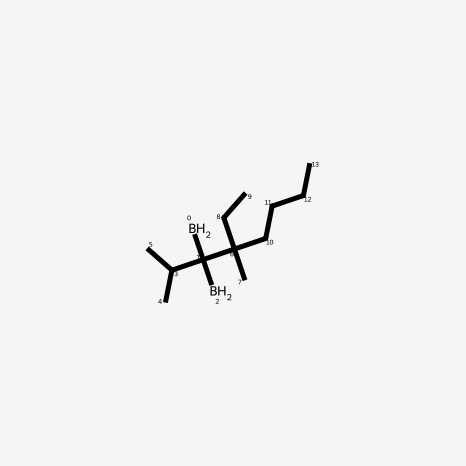 BC(B)(C(C)C)C(C)(CC)CCCC